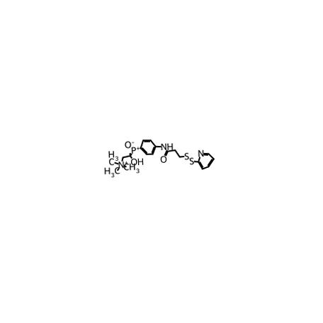 C[N+](C)(C)C/C(O)=[P+](\[O-])c1ccc(NC(=O)CCSSc2ccccn2)cc1